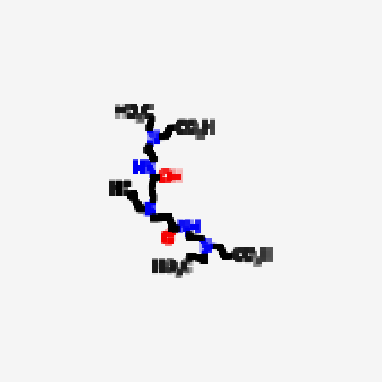 C#CCN(CCC(=O)NCCN(CCC(=O)O)CCC(=O)O)CCC(O)NCCN(CCC(=O)O)CCC(=O)O